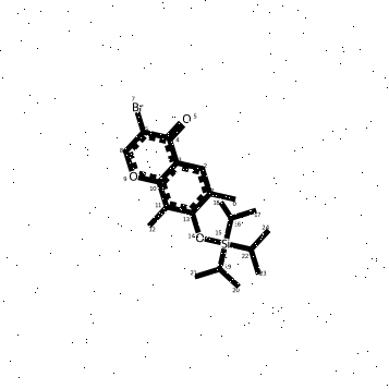 Cc1cc2c(=O)c(Br)coc2c(C)c1O[Si](C(C)C)(C(C)C)C(C)C